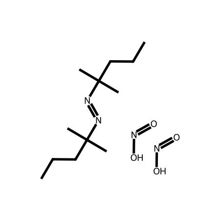 CCCC(C)(C)N=NC(C)(C)CCC.O=NO.O=NO